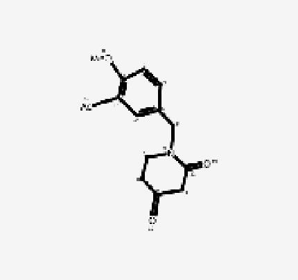 COc1ccc(CN2CCC(=O)CC2=O)cc1C(C)=O